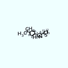 CC(C)c1ccc(C2CC(c3cccs3)=NN2)cc1